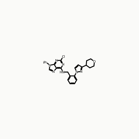 CC(C)n1cnc2c(NCc3ccccc3-n3ccc(C4CCOCC4)n3)nc(Cl)nc21